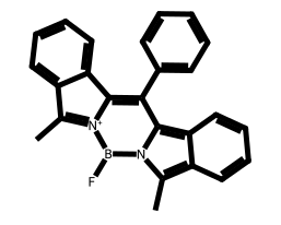 CC1=[N+]2B(F)n3c(C)c4ccccc4c3C(c3ccccc3)=C2c2ccccc21